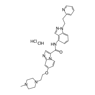 CN1CCN(CCOc2ccn3c(C(=O)Nc4cccc5c4cnn5CCc4ccccn4)cnc3c2)CC1.Cl.Cl